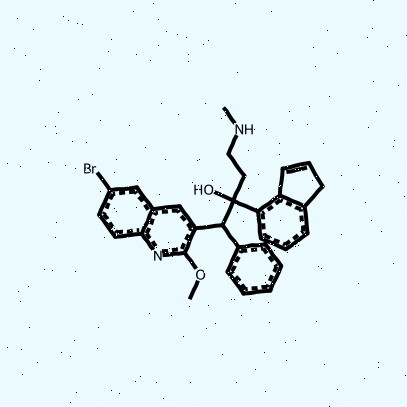 CNCCC(O)(c1cccc2c1C=CC2)C(c1ccccc1)c1cc2cc(Br)ccc2nc1OC